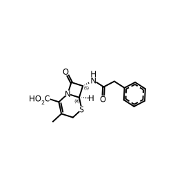 CC1=C(C(=O)O)N2C(=O)[C@H](NC(=O)Cc3ccccc3)[C@H]2SC1